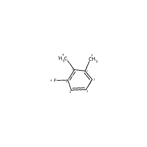 Cc1cc[c]c(F)c1C